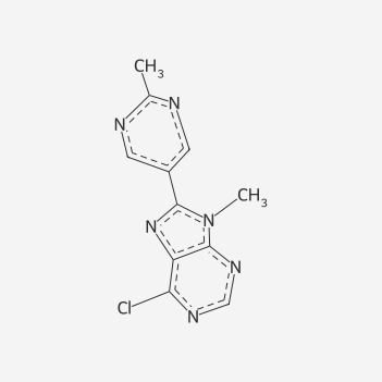 Cc1ncc(-c2nc3c(Cl)ncnc3n2C)cn1